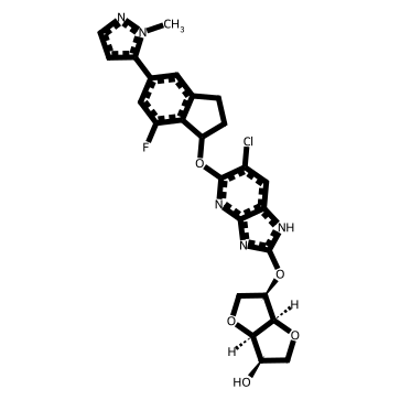 Cn1nccc1-c1cc(F)c2c(c1)CCC2Oc1nc2nc(O[C@@H]3CO[C@H]4[C@@H]3OC[C@H]4O)[nH]c2cc1Cl